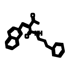 CC(=O)C(=Cc1ccc2ccccc2c1)C(=O)NCCCc1ccccc1